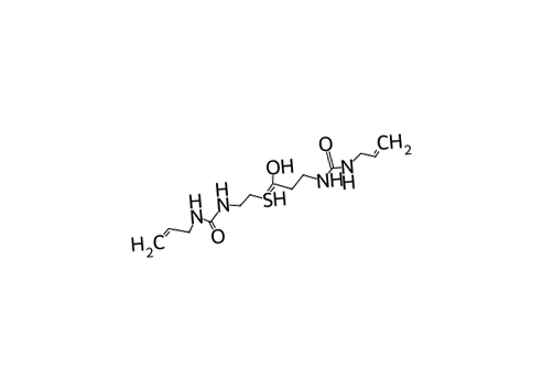 C=CCNC(=O)NCC[SH]=C(O)CCNC(=O)NCC=C